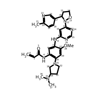 C=CC(=O)Nc1cc(Nc2cc(N3OCCC3c3ccc(C)nc3)ncn2)c(OC)cc1N1CCC(N(C)C)C1